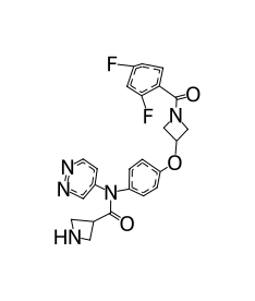 O=C(c1ccc(F)cc1F)N1CC(Oc2ccc(N(C(=O)C3CNC3)c3ccnnc3)cc2)C1